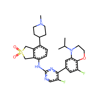 CC(C)N1CCOc2c(F)cc(-c3nc(Nc4ccc(C5CCN(C)CC5)c5c4CS(=O)(=O)C5)ncc3F)cc21